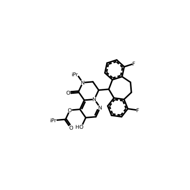 CC(C)C(=O)OC1=C2C(=O)N(C(C)C)CC(C3c4cccc(F)c4CCc4c(F)cccc43)N2N=CC1O